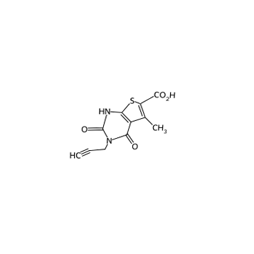 C#CCn1c(=O)[nH]c2sc(C(=O)O)c(C)c2c1=O